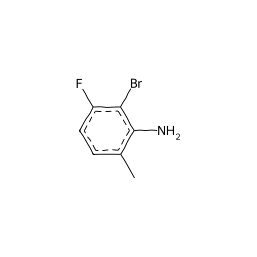 Cc1ccc(F)c(Br)c1N